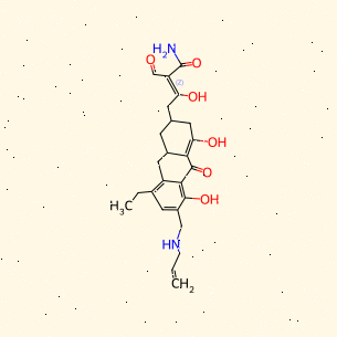 C=CCNCc1cc(CC)c2c(c1O)C(=O)C1=C(O)CC(C/C(O)=C(\C=O)C(N)=O)CC1C2